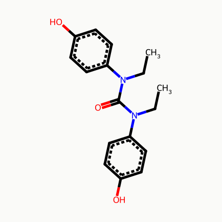 CCN(C(=O)N(CC)c1ccc(O)cc1)c1ccc(O)cc1